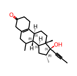 CC#C[C@]1(O)[C@H](C)C[C@H]2[C@@H]3C(C)CC4=C(CCC(=O)C4)[C@H]3CC[C@@]21C